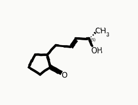 C[C@H](O)C=CCC1CCCC1=O